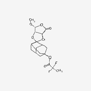 COC1OC(=O)C2OC3(OC12)C1CC2CC3CC(OC(=O)C(C)(F)F)(C2)C1